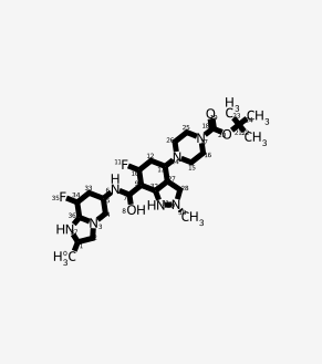 CC1CN2CC(NC(O)C3C(F)CC(N4CCN(C(=O)OC(C)(C)C)CC4)C4CN(C)NC43)CC(F)C2N1